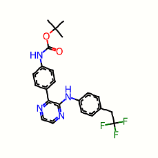 CC(C)(C)OC(=O)Nc1ccc(-c2nccnc2Nc2ccc(CC(F)(F)F)cc2)cc1